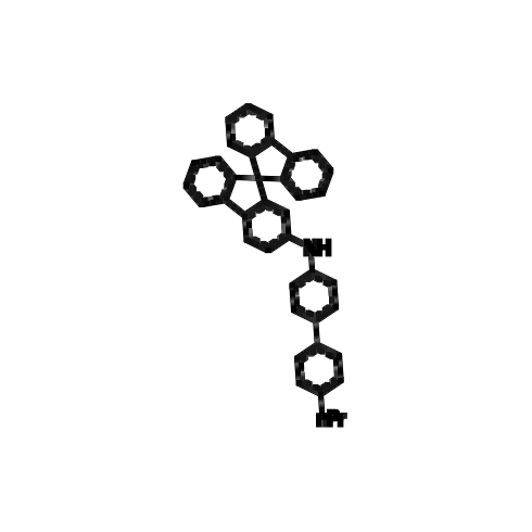 CCCc1ccc(-c2ccc(Nc3ccc4c(c3)C3(c5ccccc5-c5ccccc53)c3ccccc3-4)cc2)cc1